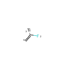 C=CF.[Ti]